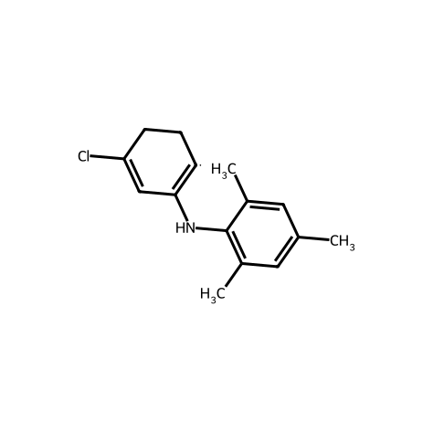 Cc1cc(C)c(NC2=[C]CCC(Cl)=C2)c(C)c1